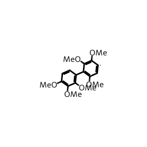 COc1[c]cc(OC)c(-c2ccc(OC)c(OC)c2OC)c1OC